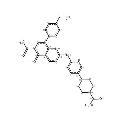 CCc1ccc(-n2cc(C(N)=O)c(=O)c3cnc(Nc4ccc(C5CCN(C(C)=O)CC5)cc4)nc32)cc1